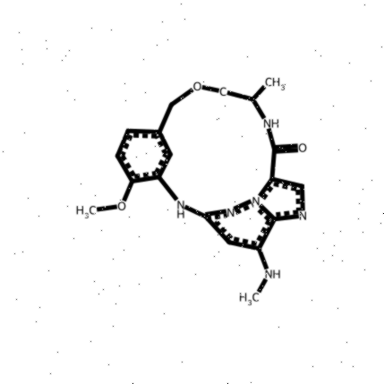 CNc1cc2nn3c(cnc13)C(=O)NC(C)COCc1ccc(OC)c(c1)N2